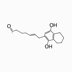 O=[C]CCCC=CCc1cc(O)c2c(c1O)CCCC2